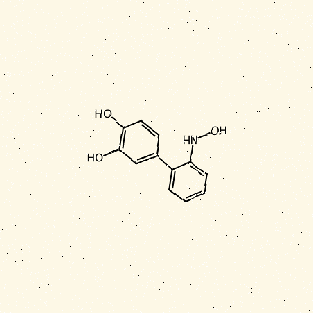 ONc1ccccc1-c1ccc(O)c(O)c1